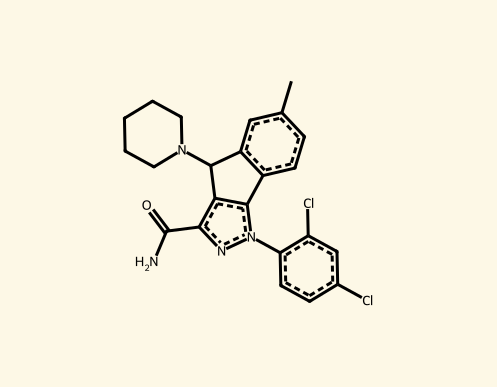 Cc1ccc2c(c1)C(N1CCCCC1)c1c(C(N)=O)nn(-c3ccc(Cl)cc3Cl)c1-2